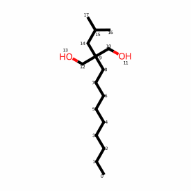 CCCCCCCCCC(CO)(CO)CC(C)C